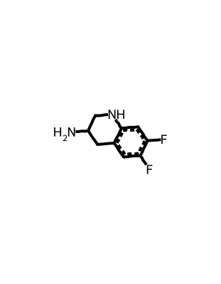 NC1CNc2cc(F)c(F)cc2C1